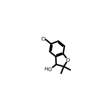 CC1(C)Oc2ccc(Cl)cc2C1O